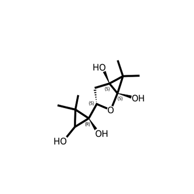 CC1(C)C(O)[C@@]1(O)[C@@H]1C[C@]2(O)C(C)(C)[C@]2(O)O1